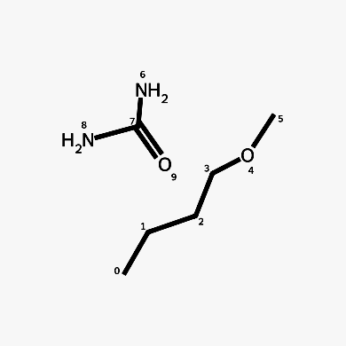 CCCCOC.NC(N)=O